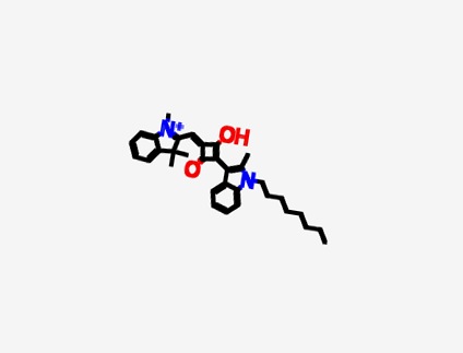 CCCCCCCCn1c(C)c(C2=C(O)/C(=C/C3=[N+](C)c4ccccc4C3(C)C)C2=O)c2ccccc21